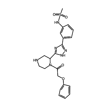 CS(=O)(=O)Nc1cccc(-c2n[nH]c(C3CNCCN3C(=O)COc3ccccc3)n2)c1